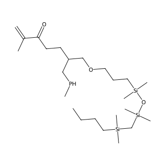 C=C(C)C(=O)CCC(COCCC[Si](C)(C)O[Si](C)(C)C[Si](C)(C)CCCC)CPC